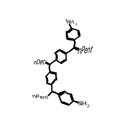 CCCCCCCCCCC(c1ccc(C(CCCCC)c2ccc(N)cc2)cc1)c1ccc(C(CCCCC)c2ccc(N)cc2)cc1